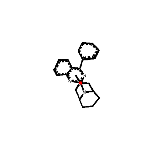 CN1CC2CCCC(C1)N2c1nc(-c2ccccc2)c2ccccc2n1